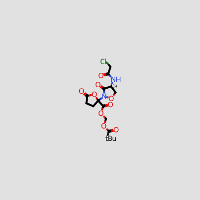 CC(C)(C)C(=O)OCOC(=O)C1(N2OC[C@H](NC(=O)CCl)C2=O)CCC(=O)O1